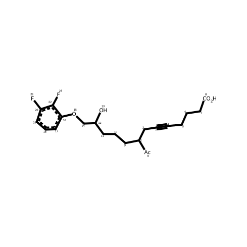 CC(=O)C(CC#CCCCC(=O)O)CCCC(O)COc1cccc(F)c1F